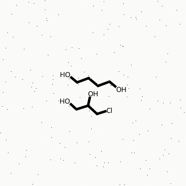 OCC(O)CCl.OCCCCO